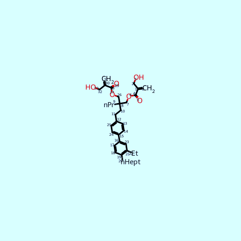 C=C(CO)C(=O)OCC(CCC)(CCc1ccc(-c2ccc(CCCCCCC)c(CC)c2)cc1)COC(=O)C(=C)CO